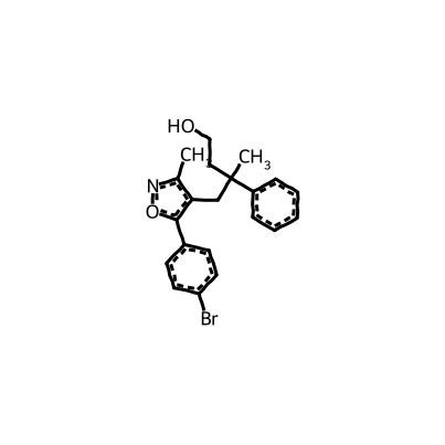 Cc1noc(-c2ccc(Br)cc2)c1CC(C)(CCO)c1ccccc1